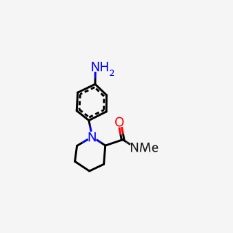 CNC(=O)C1CCCCN1c1ccc(N)cc1